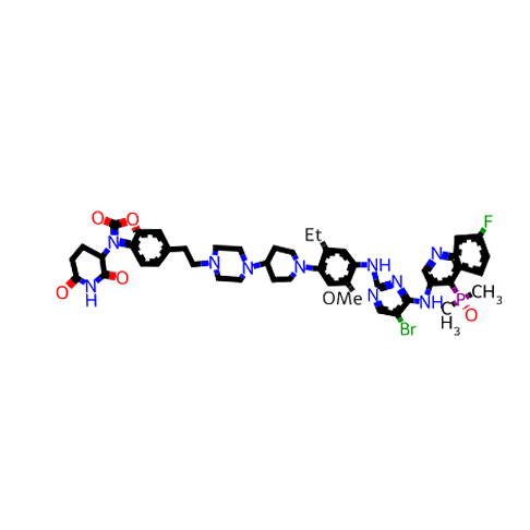 CCc1cc(Nc2ncc(Br)c(Nc3cnc4cc(F)ccc4c3P(C)(C)=O)n2)c(OC)cc1N1CCC(N2CCN(CCc3ccc4c(c3)oc(=O)n4C3CCC(=O)NC3=O)CC2)CC1